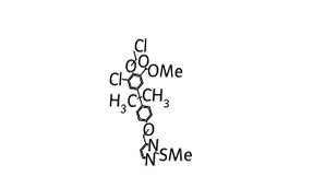 COC(=O)c1cc(C(C)(C)c2ccc(OCc3ccnc(SC)n3)cc2)cc(Cl)c1OCCCl